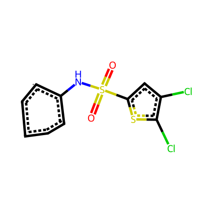 O=S(=O)(Nc1[c]cccc1)c1cc(Cl)c(Cl)s1